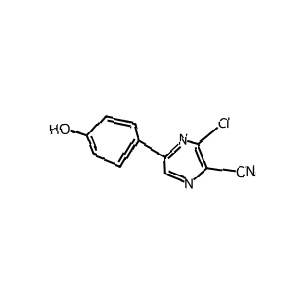 N#Cc1ncc(-c2ccc(O)cc2)nc1Cl